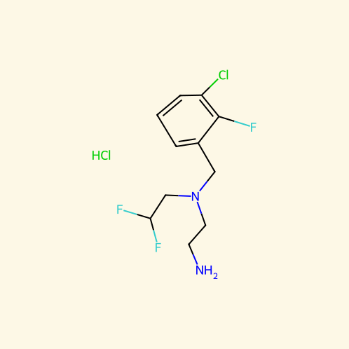 Cl.NCCN(Cc1cccc(Cl)c1F)CC(F)F